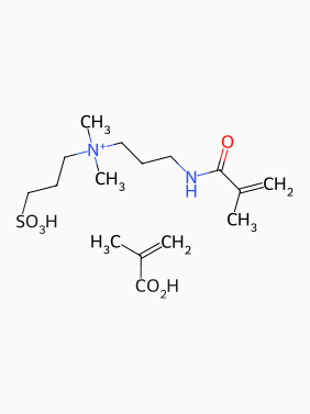 C=C(C)C(=O)NCCC[N+](C)(C)CCCS(=O)(=O)O.C=C(C)C(=O)O